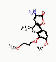 COCCCOc1cc(-c2oc(=O)c(N)cc2C(C)C)ccc1OC